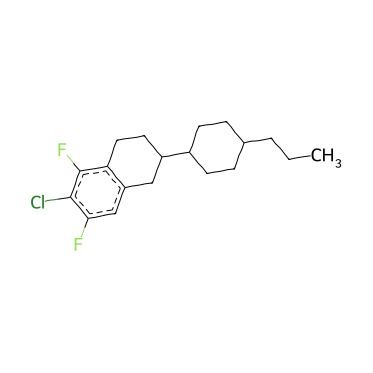 CCCC1CCC(C2CCc3c(cc(F)c(Cl)c3F)C2)CC1